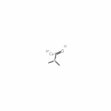 CN(C)C=O.[Ca+2].[H-].[H-]